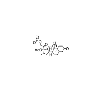 CCC(=O)OCC(=O)[C@@]1(OC(C)=O)C(C)C[C@H]2[C@@H]3CCC4=CC(=O)C=C[C@]4(C)[C@H]3C(Cl)C[C@@]21C